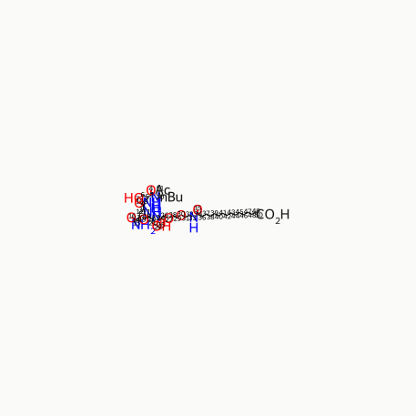 CCCC[C@H](NC(=O)[C@H](CO)NC(=O)[C@H](CCC(N)=O)NC(=O)[C@H](CO)NC(=O)COCCOCCNC(=O)CCCCCCCCCCCCCCC(=O)O)C(C)=O